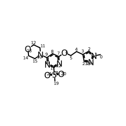 Cn1cc(CCOc2cc(N3CCOCC3)nc(S(C)(=O)=O)n2)cn1